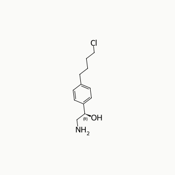 NC[C@H](O)c1ccc(CCCCCl)cc1